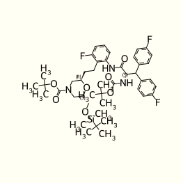 CC(C)(C)OC(=O)N[C@H](C(=O)Nc1cccc(F)c1CC[C@@H]1CN(C(=O)OC(C)(C)C)C[C@@H](CO[Si](C)(C)C(C)(C)C)O1)C(c1ccc(F)cc1)c1ccc(F)cc1